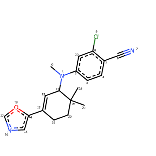 CN(c1ccc(C#N)c(Cl)c1)C1C=C(c2cnco2)CCC1(C)C